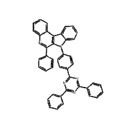 c1ccc(-c2nc(-c3ccccc3)nc(-c3ccc(-n4c5ccccc5c5c6ccccc6nc(-c6ccccc6)c54)cc3)n2)cc1